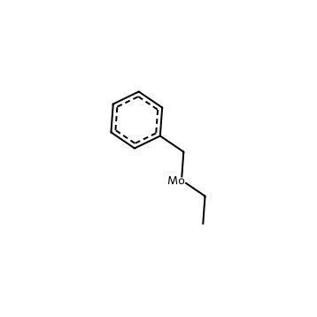 C[CH2][Mo][CH2]c1ccccc1